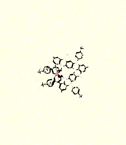 CSN1c2cc3c(cc2B2c4cc5c(cc4N(c4ccc(C(C)(C)C)cc4)c4cc(C)cc1c42)N(SC)c1cc(C)cc2c1B5c1sc4ccc(C(C)(C)C)cc4c1N2c1ccc(C(C)(C)C)cc1)B1c2sc4ccc(C(C)(C)C)cc4c2N(c2ccc(C(C)(C)C)cc2)c2cc(C)cc(c21)N3c1ccc(C(C)(C)C)cc1